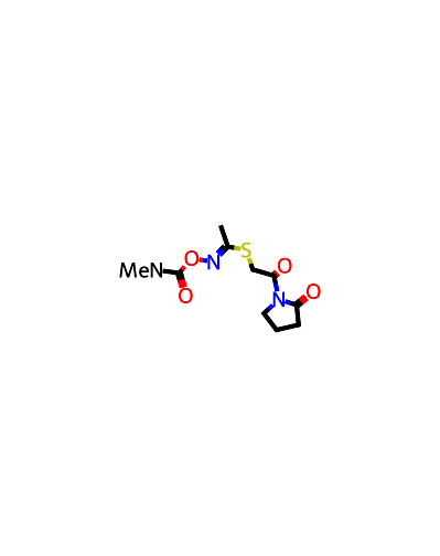 CNC(=O)ON=C(C)SCC(=O)N1CCCC1=O